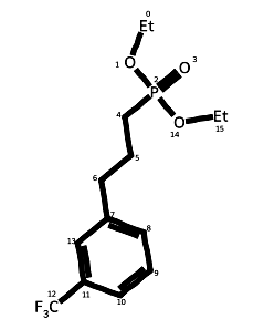 CCOP(=O)(CCCc1cccc(C(F)(F)F)c1)OCC